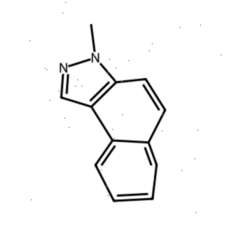 Cn1ncc2c3ccccc3ccc21